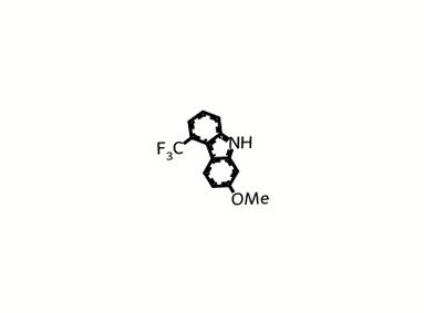 COc1ccc2c(c1)[nH]c1cccc(C(F)(F)F)c12